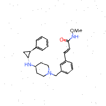 CONC(=O)C=Cc1cccc(CN2CCC(N[C@@H]3C[C@H]3c3ccccc3)CC2)c1